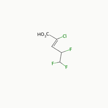 O=C(O)C(Cl)=CC(F)C(F)F